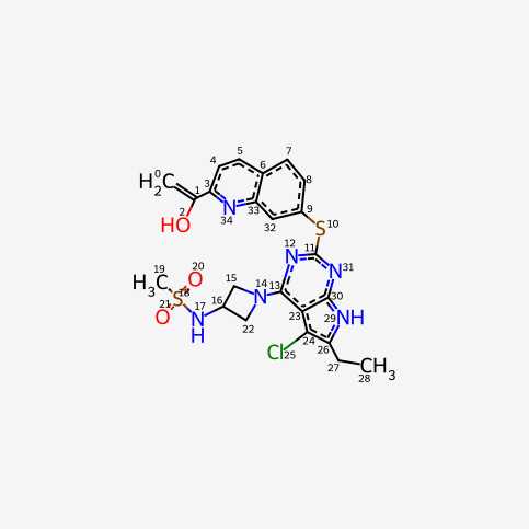 C=C(O)c1ccc2ccc(Sc3nc(N4CC(NS(C)(=O)=O)C4)c4c(Cl)c(CC)[nH]c4n3)cc2n1